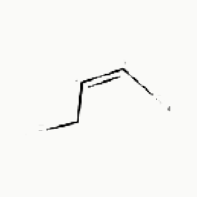 FC/C=C\[S]